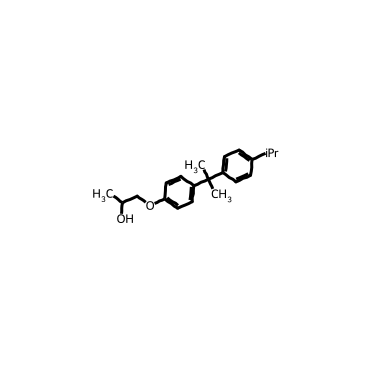 CC(O)COc1ccc(C(C)(C)c2ccc(C(C)C)cc2)cc1